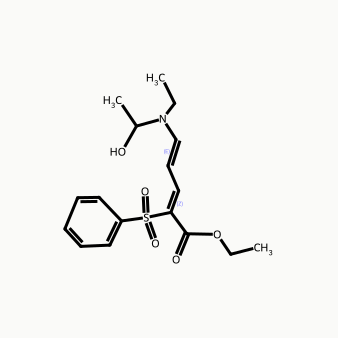 CCOC(=O)/C(=C/C=C/N(CC)C(C)O)S(=O)(=O)c1ccccc1